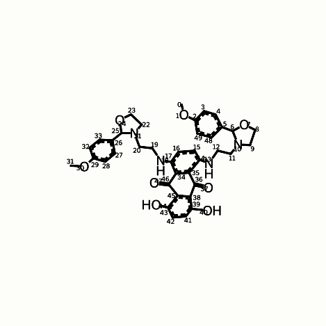 COc1ccc(C2OCCN2CCNc2ccc(NCCN3CCOC3c3ccc(OC)cc3)c3c2C(=O)c2c(O)ccc(O)c2C3=O)cc1